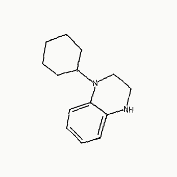 c1ccc2c(c1)NCCN2[C]1CCCCC1